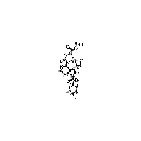 CCCCOC(=O)N1CCN(c2nccc3c2c(C2CCC2)cn3S(=O)(=O)c2ccc(C)cc2)[C@@H](C)C1